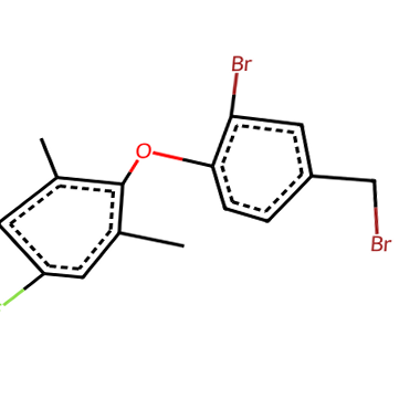 Cc1cc(F)cc(C)c1Oc1ccc(CBr)cc1Br